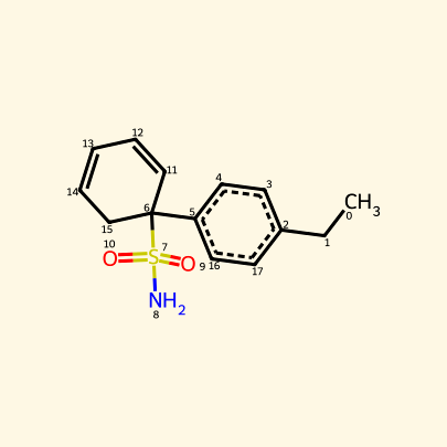 CCc1ccc(C2(S(N)(=O)=O)C=CC=CC2)cc1